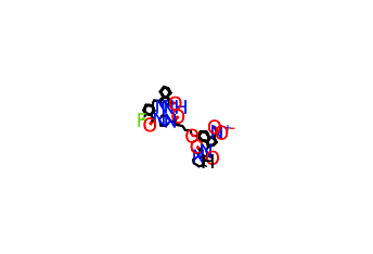 C[C@H]1CCCN2C(=O)N(c3ccc([N+](=O)[O-])c4ccc(OCCCCC(=O)N5CCN(C(=O)c6cc(Cc7n[nH]c(=O)c8ccccc78)ccc6F)CC5)cc34)C(=O)[C@H]12